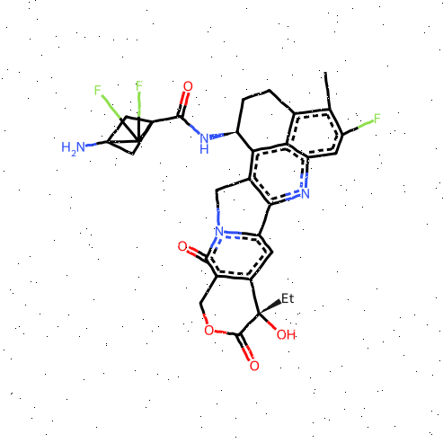 CC[C@@]1(O)C(=O)OCc2c1cc1n(c2=O)Cc2c-1nc1cc(F)c(C)c3c1c2[C@@H](NC(=O)C12CC(N)(C1)C2(F)F)CC3